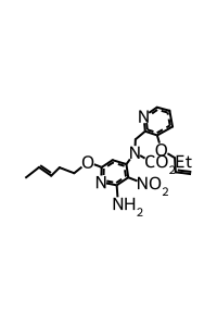 C=CCOc1cccnc1CN(C(=O)OCC)c1cc(OCC/C=C/C)nc(N)c1[N+](=O)[O-]